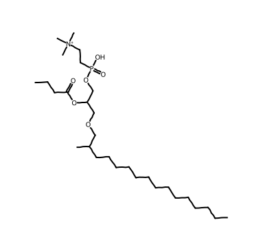 CCCCCCCCCCCCCCC(C)COCC(COP(=O)(O)CC[N+](C)(C)C)OC(=O)CCC